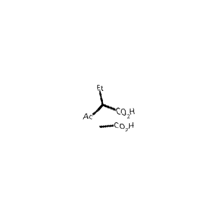 CC(=O)O.CCC(C(C)=O)C(=O)O